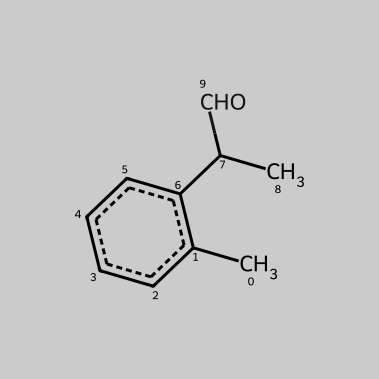 Cc1ccccc1C(C)C=O